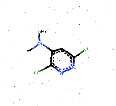 CCCN(C)c1cc(Cl)nnc1Cl